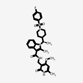 COc1cc(C)[nH]c(=O)c1CNC(=O)c1c(C)n([C@H](C)C2CCN(S(=O)(=O)c3ccc(F)cc3)CC2)c2ccccc12